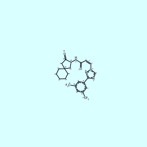 O=C(/C=C\n1cnc(-c2cc(C(F)(F)F)cc(C(F)(F)F)c2)n1)NN1CC2(CCCCC2)CC1=O